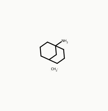 NC12CCCC(CCC1)C2.[CH2]